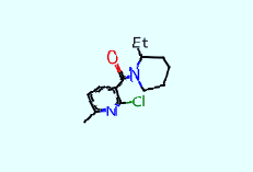 CCC1CCCCN1C(=O)c1ccc(C)nc1Cl